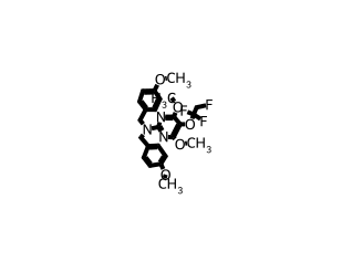 COc1ccc(CN(Cc2ccc(OC)cc2)c2nc(OC)c(OC(F)(F)CF)c(OC)n2)cc1